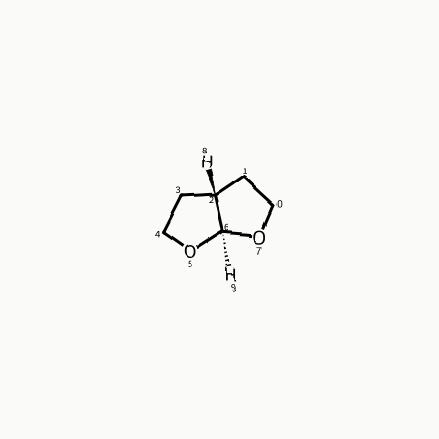 C1C[C@H]2CCO[C@@H]2O1